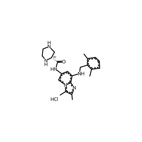 Cc1cccc(C)c1CNc1cc(NC(=O)[C@H]2CNCCN2)cn2c(C)c(C)nc12.Cl